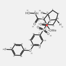 COC(=O)N1[C@@H]2CC[C@H]1[C@H](C(=O)NO)N(S(=O)(=O)c1ccc(Oc3ccc(F)cc3)nc1)C2